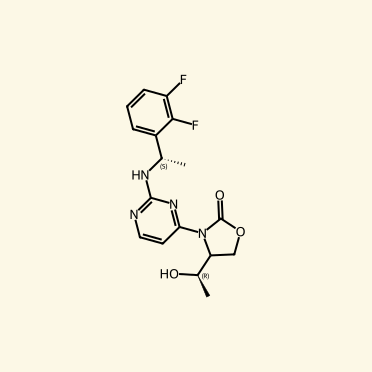 C[C@H](Nc1nccc(N2C(=O)OCC2[C@@H](C)O)n1)c1cccc(F)c1F